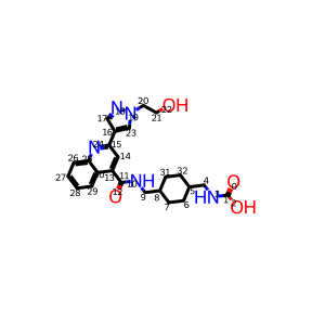 O=C(O)NCC1CCC(CNC(=O)c2cc(-c3cnn(CCO)c3)nc3ccccc23)CC1